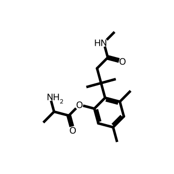 CNC(=O)CC(C)(C)c1c(C)cc(C)cc1OC(=O)C(C)N